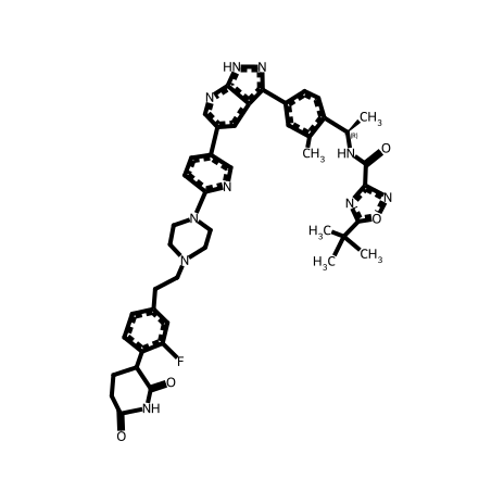 Cc1cc(-c2n[nH]c3ncc(-c4ccc(N5CCN(CCc6ccc(C7CCC(=O)NC7=O)c(F)c6)CC5)nc4)cc23)ccc1[C@@H](C)NC(=O)c1noc(C(C)(C)C)n1